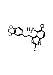 Nc1c(Cl)ccc2nc(Cl)nc(CCc3ccc4c(c3)OCO4)c12